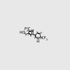 OCc1cn(C2=CNC(C(F)(F)F)C=C2)nc1C(F)(F)F